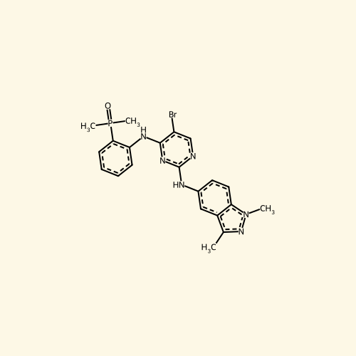 Cc1nn(C)c2ccc(Nc3ncc(Br)c(Nc4ccccc4P(C)(C)=O)n3)cc12